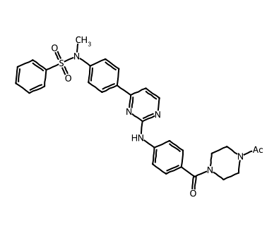 CC(=O)N1CCN(C(=O)c2ccc(Nc3nccc(-c4ccc(N(C)S(=O)(=O)c5ccccc5)cc4)n3)cc2)CC1